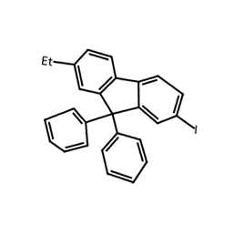 CCc1ccc2c(c1)C(c1ccccc1)(c1ccccc1)c1cc(I)ccc1-2